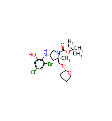 CC(C)(C)OC(=O)N1C[C@@H](Nc2c(O)cc(Cl)cc2Br)C[C@@]1(C)CO[C@H]1CCCCO1